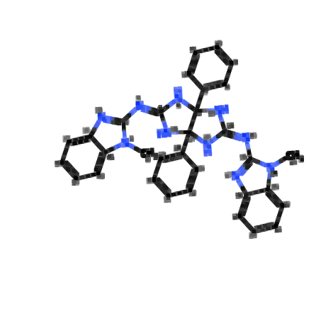 Cn1c(N=C2NC3(c4ccccc4)NC(=Nc4nc5ccccc5n4C)NC3(c3ccccc3)N2)nc2ccccc21